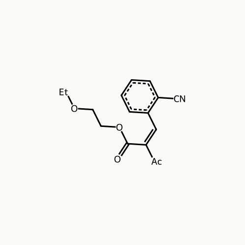 CCOCCOC(=O)C(=Cc1ccccc1C#N)C(C)=O